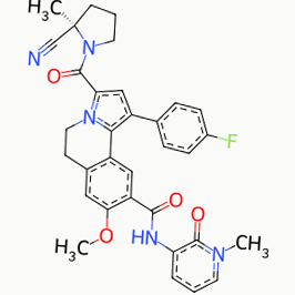 COc1cc2c(cc1C(=O)Nc1cccn(C)c1=O)-c1c(-c3ccc(F)cc3)cc(C(=O)N3CCC[C@]3(C)C#N)n1CC2